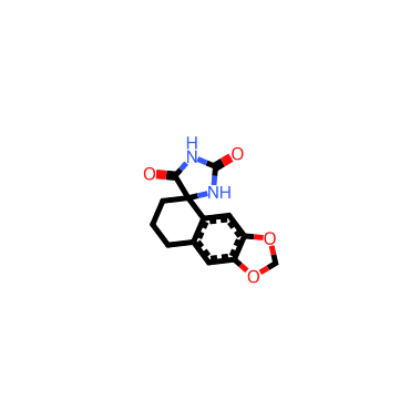 O=C1NC(=O)C2(CCCc3cc4c(cc32)OCO4)N1